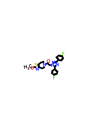 COc1nc2c(s1)CCN(C(=O)Cn1nc(-c3ccc(F)cc3)nc1-c1ccc(F)cc1)CC2